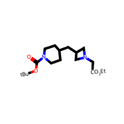 CCOC(=O)CN1CC(CC2CCN(C(=O)OC(C)(C)C)CC2)C1